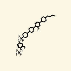 CCCCC1CCC(c2ccc(C3CCC(C4CCC(C(F)(F)Oc5ccc(OC(F)(F)F)c(F)c5)CC4)CC3)c(F)c2)CC1